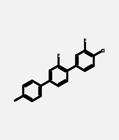 Cc1ccc(-c2ccc(-c3ccc(Cl)c(F)c3)c(F)c2)cc1